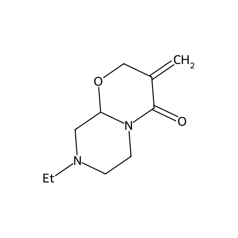 C=C1COC2CN(CC)CCN2C1=O